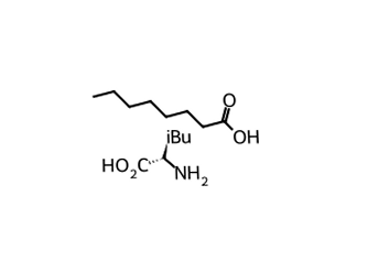 CCCCCCCC(=O)O.CC[C@H](C)[C@H](N)C(=O)O